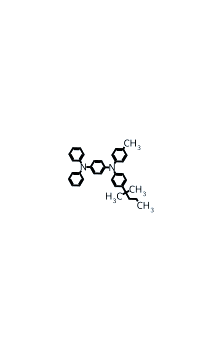 CCCC(C)(C)c1ccc(N(c2ccc(C)cc2)c2ccc(N(c3ccccc3)c3ccccc3)cc2)cc1